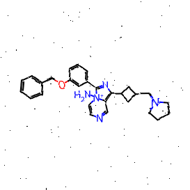 N[N+]12C=CN=CC1=C(C1CC(CN3CCCC3)C1)N=C2c1cccc(OCc2ccccc2)c1